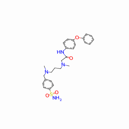 CN(CCCN(C)Cc1ccc(S(N)(=O)=O)cc1)CC(=O)Nc1ccc(Oc2ccccc2)cc1